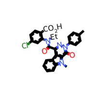 CCN(C(=O)c1nn(-c2ccc(C)cc2)c(=O)c2c1c1ccccc1n2C)c1cc(Cl)ccc1C(=O)O